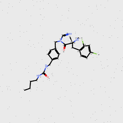 CCCCNC(=O)NCc1ccc(CN(C=N)C(=O)[C@@](C)(Cc2ccc(F)cc2F)NC)cc1